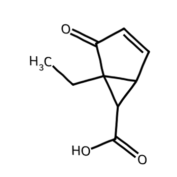 CCC12C(=O)C=CC1C2C(=O)O